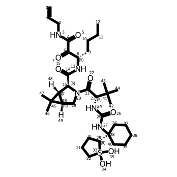 C=CCNC(=O)C(=O)[C@H](CCCC)NC(=O)[C@@H]1[C@@H]2[C@H](CN1C(=O)[C@@H](NC(=O)NC1([C@H]3CCCS3(O)O)CCCCC1)C(C)(C)C)C2(C)C